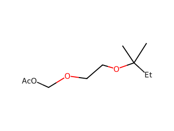 CCC(C)(C)OCCOCOC(C)=O